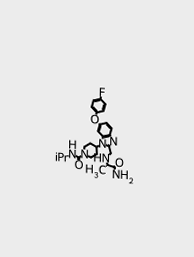 CC(C)NC(=O)N1CCC(n2c(CN[C@@H](C)C(N)=O)nc3ccc(Oc4ccc(F)cc4)cc32)CC1